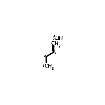 C=CCC.[LiH]